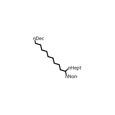 CCCCCCCC[CH]C(CCCCCCC)CCCCCCCCCCCCCCCCCCC